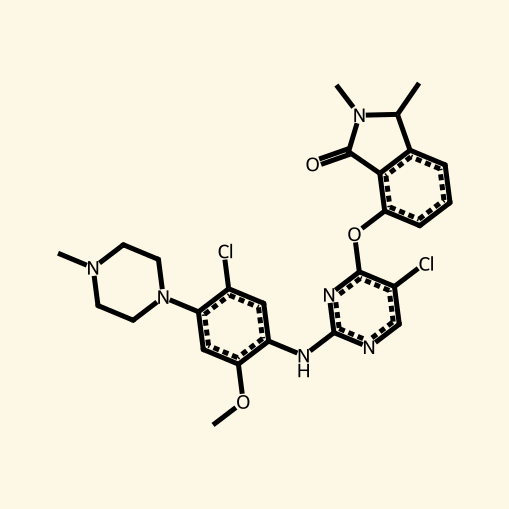 COc1cc(N2CCN(C)CC2)c(Cl)cc1Nc1ncc(Cl)c(Oc2cccc3c2C(=O)N(C)C3C)n1